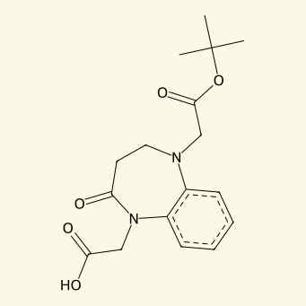 CC(C)(C)OC(=O)CN1CCC(=O)N(CC(=O)O)c2ccccc21